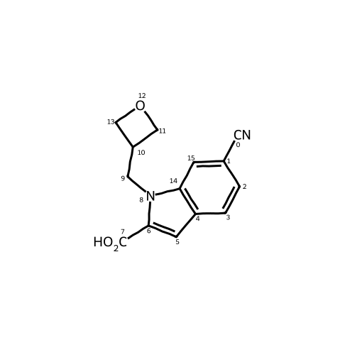 N#Cc1ccc2cc(C(=O)O)n(CC3COC3)c2c1